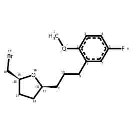 COc1ccc(F)cc1CCC[C@H]1CC[C@@H](CBr)O1